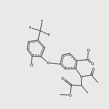 COC(=O)C(C)N(C(C)=O)c1cc(Oc2cc(C(F)(F)F)ccc2Cl)ccc1[N+](=O)[O-]